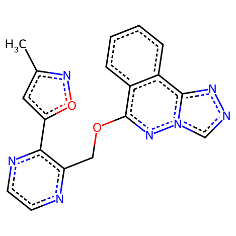 Cc1cc(-c2nccnc2COc2nn3cnnc3c3ccccc23)on1